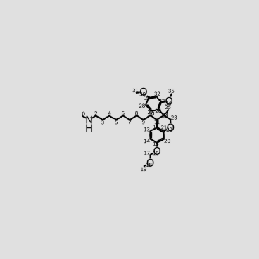 CNCCCCCCCCCC1c2ccc(OCOC)cc2OCC1(C)c1ccc(OC)cc1OC